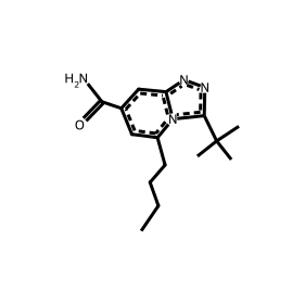 CCCCc1cc(C(N)=O)cc2nnc(C(C)(C)C)n12